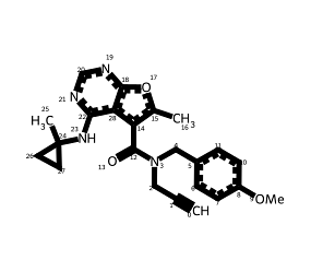 C#CCN(Cc1ccc(OC)cc1)C(=O)c1c(C)oc2ncnc(NC3(C)CC3)c12